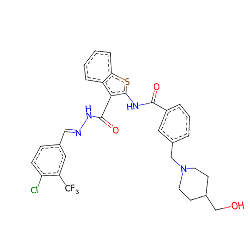 O=C(Nc1sc2ccccc2c1C(=O)NN=Cc1ccc(Cl)c(C(F)(F)F)c1)c1cccc(CN2CCC(CO)CC2)c1